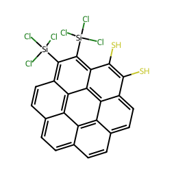 Sc1c(S)c2c([Si](Cl)(Cl)Cl)c([Si](Cl)(Cl)Cl)c3ccc4ccc5ccc6ccc1c1c6c5c4c3c21